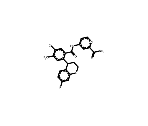 NC(=O)c1cc(NC(=O)c2cc(Cl)c(C(F)(F)F)cc2C2CCOc3cc(F)ccc32)ccn1